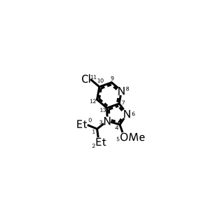 CCC(CC)n1c(OC)nc2ncc(Cl)cc21